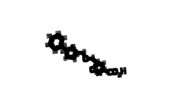 O=C(O)c1cc(COCc2ccc(-c3ccccc3)s2)on1